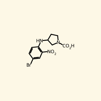 O=C(O)N1CCC(Nc2ccc(Br)cc2[N+](=O)[O-])C1